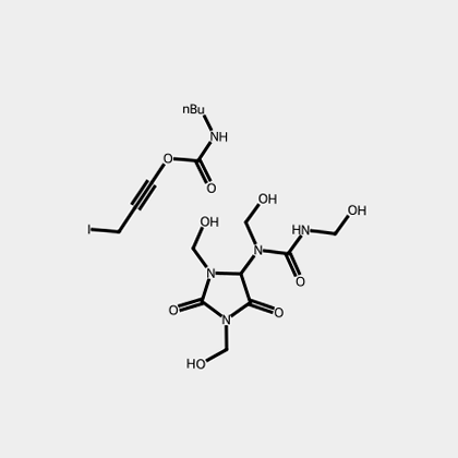 CCCCNC(=O)OC#CCI.O=C1C(N(CO)C(=O)NCO)N(CO)C(=O)N1CO